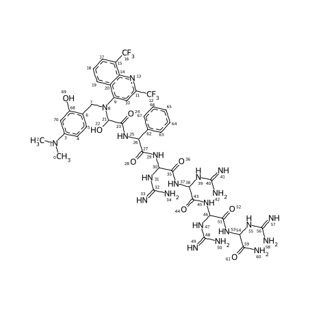 CN(C)c1ccc(CN(c2cc(C(F)(F)F)nc3c(C(F)(F)F)cccc23)C(O)C(=O)NC(C(=O)NC(NC(=N)N)C(=O)NC(NC(=N)N)C(=O)NC(NC(=N)N)C(=O)NC(NC(=N)N)C(N)=O)c2ccccc2)c(O)c1